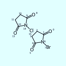 O=C1CCC(=O)N1Br.O=C1CCC(=O)N1Cl